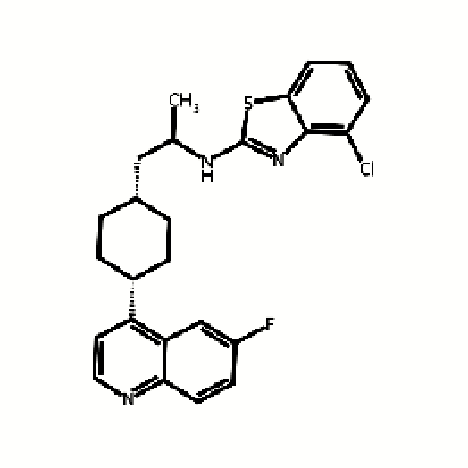 CC(C[C@H]1CC[C@@H](c2ccnc3ccc(F)cc32)CC1)Nc1nc2c(Cl)cccc2s1